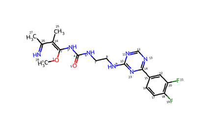 CO/C(NC(=O)NCCNc1ncnc(-c2ccc(F)c(F)c2)n1)=C(/C)C(C)=N